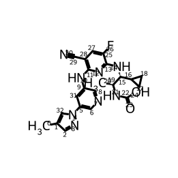 Cc1cnn(-c2cncc(Nc3nc(N[C@H](C4CC4)[C@H](C)NC(=O)O)c(F)cc3C#N)c2)c1